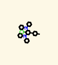 Cc1ccc(-c2cc(N(c3ccccc3)c3ccccc3)c(Cl)c(N(c3ccccc3)c3ccccc3)c2)cc1